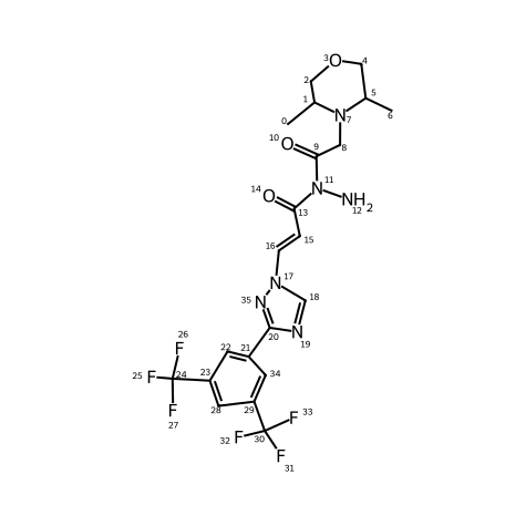 CC1COCC(C)N1CC(=O)N(N)C(=O)C=Cn1cnc(-c2cc(C(F)(F)F)cc(C(F)(F)F)c2)n1